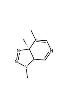 CC1=CN=CC2N(C)N=N[C@@]12C